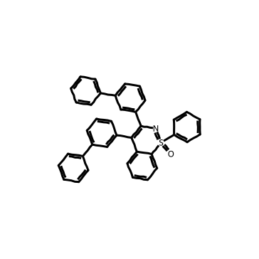 O=S1(c2ccccc2)=NC(c2cccc(-c3ccccc3)c2)=C(c2cccc(-c3ccccc3)c2)c2ccccc21